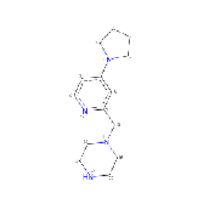 c1cc(N2CCCC2)cc(CN2CCNCC2)n1